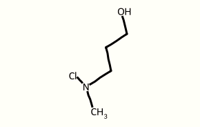 CN(Cl)CCCO